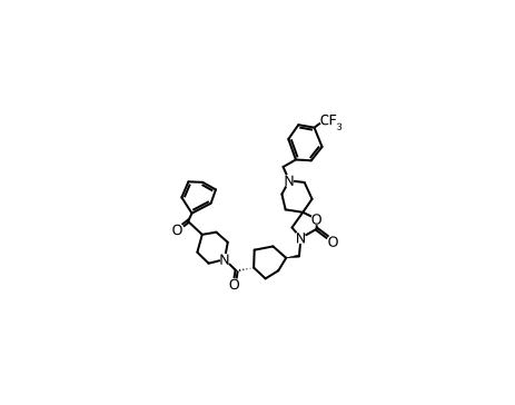 O=C(c1ccccc1)C1CCN(C(=O)[C@H]2CC[C@H](CN3CC4(CCN(Cc5ccc(C(F)(F)F)cc5)CC4)OC3=O)CC2)CC1